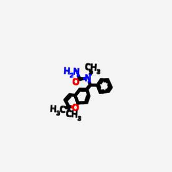 CCN(C(N)=O)C(C1=CC2C=CC(C)(C)OC2C=C1)c1ccccc1